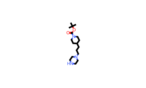 CC(C)(C)OC(=O)N1CCC(CCCN2CCNCC2)CC1